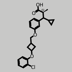 C[C@H](C(=O)O)C(c1cccc(OCC2CC(Oc3ccccc3Cl)C2)c1)C1CC1